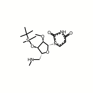 CNC[C@H]1O[C@@H](n2ccc(=O)[nH]c2=O)[C@H](OC)[C@@H]1O[Si](C)(C)C(C)(C)C